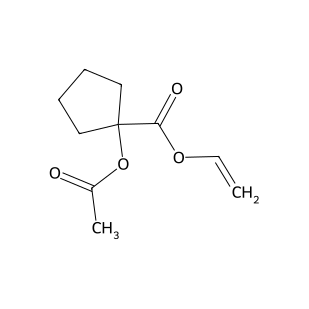 C=COC(=O)C1(OC(C)=O)CCCC1